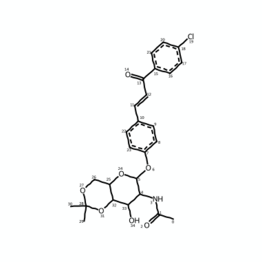 CC(=O)NC1C(Oc2ccc(/C=C/C(=O)c3ccc(Cl)cc3)cc2)OC2COC(C)(C)OC2C1O